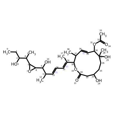 CCC(O)C(C)C1OC1C(O)C(C)/C=C/C=C(\C)C1OC(=O)CC(O)CCC(C)(O)C(OC(C)=O)/C=C/C1C